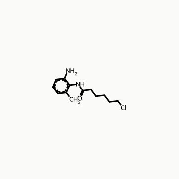 Cc1cccc(N)c1NC(=O)CCCCCCl